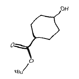 CC(C)(C)OC(=O)C1CCC(O)CC1